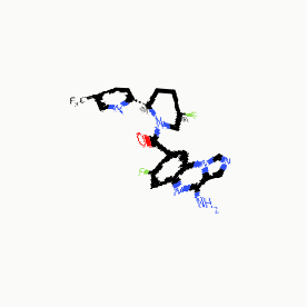 Nc1nc2cc(F)c(C(=O)N3C[C@H](F)CC[C@H]3c3ccc(C(F)(F)F)cn3)cc2n2cncc12